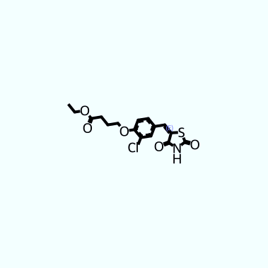 CCOC(=O)CCCOc1ccc(/C=C2/SC(=O)NC2=O)cc1Cl